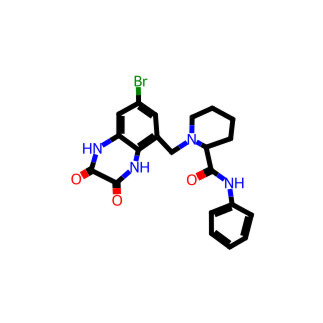 O=C(Nc1ccccc1)C1CCCCN1Cc1cc(Br)cc2[nH]c(=O)c(=O)[nH]c12